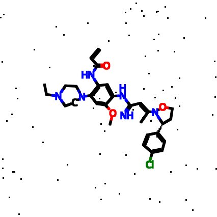 C=CC(=O)Nc1cc(NC(=N)/C=C(\C)N2OCC[C@@H]2c2ccc(Cl)cc2)c(OC)cc1N1CCN(CC)CC1